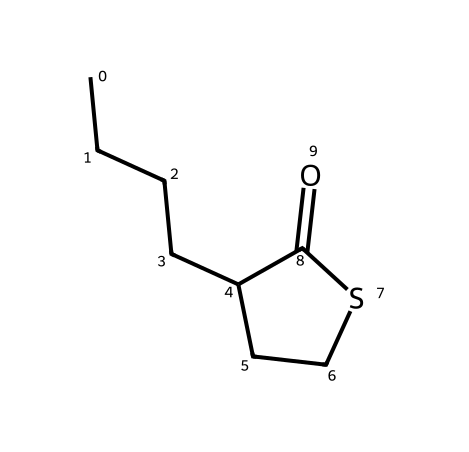 CCCCC1CCSC1=O